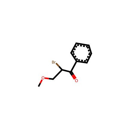 COCC(Br)C(=O)c1ccccc1